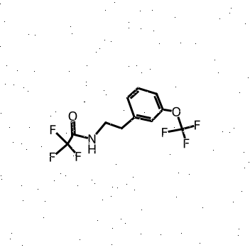 O=C(NCCc1cccc(OC(F)(F)F)c1)C(F)(F)F